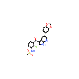 CS(=O)(=O)Nc1cccc(C(=O)c2c[nH]c3ncc(-c4ccc5c(c4)OCO5)cc23)c1F